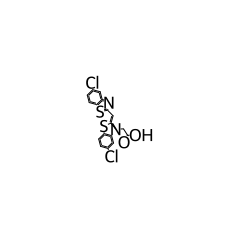 O=C(O)CN1/C(=C/c2nc3cc(Cl)ccc3s2)Sc2ccc(Cl)cc21